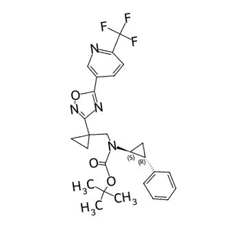 CC(C)(C)OC(=O)N(CC1(c2noc(-c3ccc(C(F)(F)F)nc3)n2)CC1)[C@H]1C[C@@H]1c1ccccc1